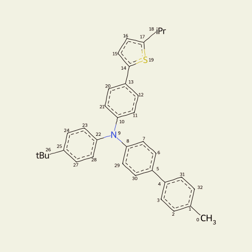 Cc1ccc(-c2ccc(N(c3ccc(-c4ccc(C(C)C)s4)cc3)c3ccc(C(C)(C)C)cc3)cc2)cc1